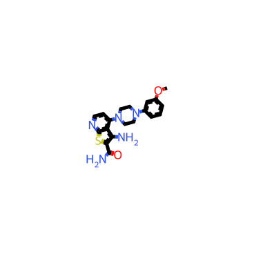 COc1cccc(N2CCN(c3ccnc4sc(C(N)=O)c(N)c34)CC2)c1